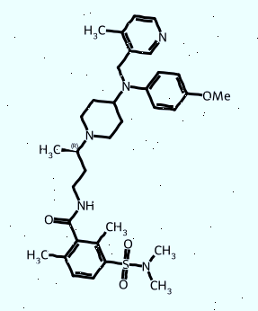 COc1ccc(N(Cc2cnccc2C)C2CCN([C@H](C)CCNC(=O)c3c(C)ccc(S(=O)(=O)N(C)C)c3C)CC2)cc1